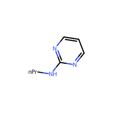 CCCNc1n[c]ccn1